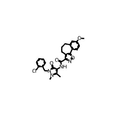 COc1ccc2c(c1)CCCc1c(C(=O)Nc3c(C)n(C)n(Cc4ccccc4Cl)c3=O)noc1-2